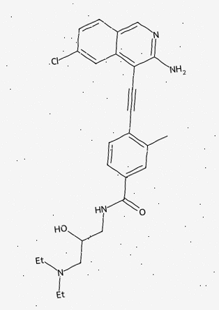 CCN(CC)CC(O)CNC(=O)c1ccc(C#Cc2c(N)ncc3ccc(Cl)cc23)c(C)c1